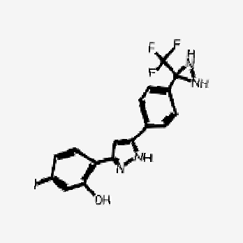 Oc1cc(I)ccc1-c1cc(-c2ccc(C3(C(F)(F)F)NN3)cc2)[nH]n1